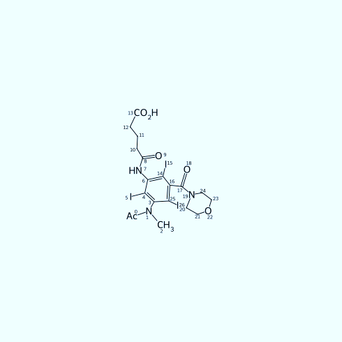 CC(=O)N(C)c1c(I)c(NC(=O)CCCC(=O)O)c(I)c(C(=O)N2CCOCC2)c1I